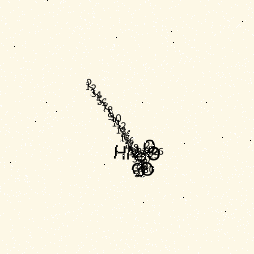 CCCCCCCCCCCCCCCCCCCNc1cc(C(=O)OC)cc(C(=O)OC)c1